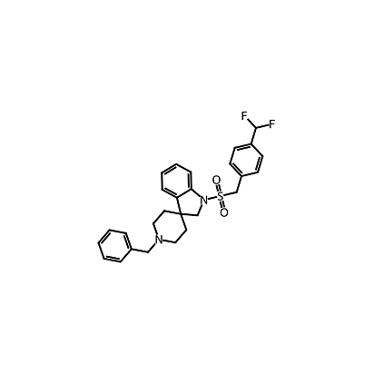 O=S(=O)(Cc1ccc(C(F)F)cc1)N1CC2(CCN(Cc3ccccc3)CC2)c2ccccc21